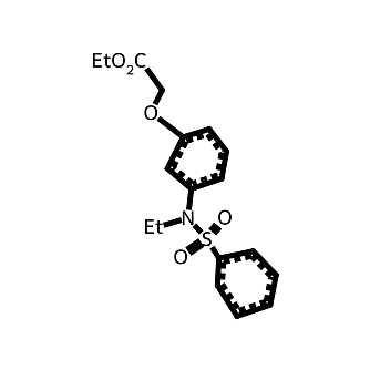 CCOC(=O)COc1cccc(N(CC)S(=O)(=O)c2ccccc2)c1